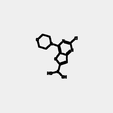 OB(O)c1cc2nc(Cl)nc(N3CCOCC3)c2o1